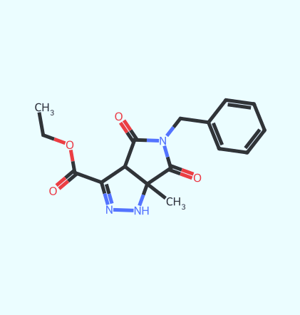 CCOC(=O)C1=NNC2(C)C(=O)N(Cc3ccccc3)C(=O)C12